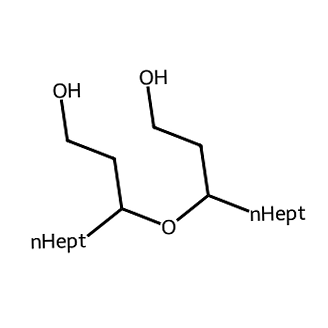 CCCCCCCC(CCO)OC(CCO)CCCCCCC